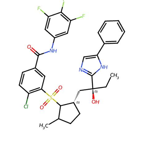 CC[C@](O)(C[C@@H]1CCC(C)C1S(=O)(=O)c1cc(C(=O)Nc2cc(F)c(F)c(F)c2)ccc1Cl)c1ncc(-c2ccccc2)[nH]1